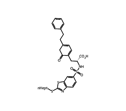 CCCCCCCSc1nc2ccc(S(=O)(=O)N[C@H](CC3=CC=C(CCc4ccccc4)CC3=O)C(=O)O)cc2s1